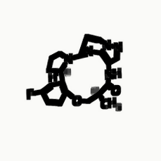 C[C@H]1COc2ccc(F)cc2[C@H]2CCCN2c2ccn3ncc(c3n2)NC1=O